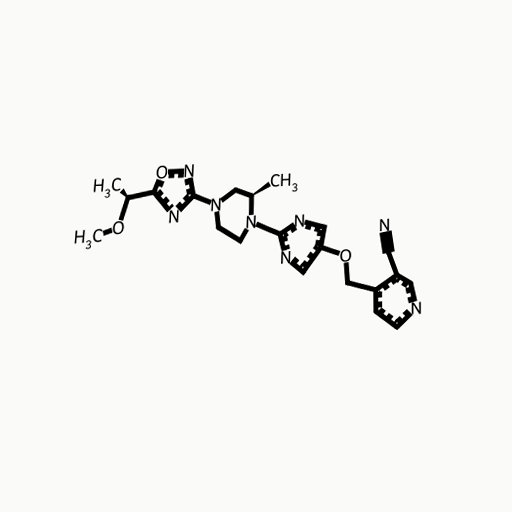 CO[C@@H](C)c1nc(N2CCN(c3ncc(OCc4ccncc4C#N)cn3)[C@H](C)C2)no1